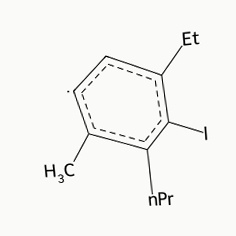 CCCc1c(C)[c]cc(CC)c1I